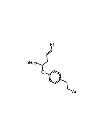 CCC=CCC(CCCCCC)Oc1ccc(CCC(C)=O)cc1